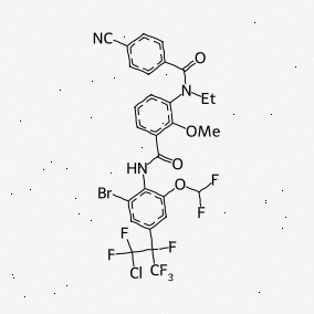 CCN(C(=O)c1ccc(C#N)cc1)c1cccc(C(=O)Nc2c(Br)cc(C(F)(C(F)(F)F)C(F)(F)Cl)cc2OC(F)F)c1OC